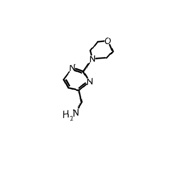 NCc1ccnc(N2CCOCC2)n1